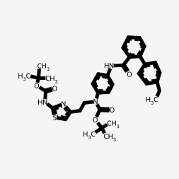 CCc1ccc(-c2ccccc2C(=O)Nc2ccc(N(CCc3csc(NC(=O)OC(C)(C)C)n3)C(=O)OC(C)(C)C)cc2)cc1